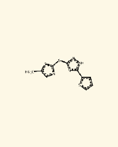 O=C(O)c1cnc(Sc2n[nH]c(-c3cccs3)n2)s1